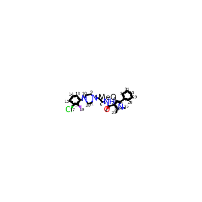 COc1c(C(=O)NCCN2CCN(c3cccc(Cl)c3I)CC2)c(C)n(C)c1-c1ccccc1